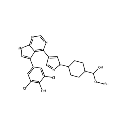 CC(C)(C)OC(O)N1CCC(n2cc(-c3ncnc4[nH]cc(-c5cc(Cl)c(O)c(Cl)c5)c34)cn2)CC1